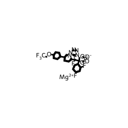 O=P([O-])([O-])OC(Cn1cnnn1)(c1ccc(F)cc1F)C(F)(F)c1ccc(-c2ccc(OCC(F)(F)F)cc2)cn1.[Mg+2]